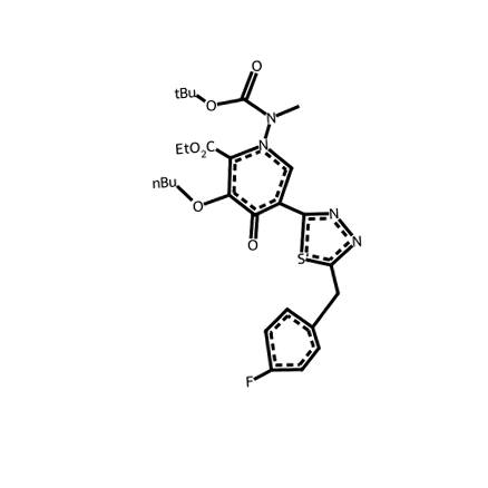 CCCCOc1c(C(=O)OCC)n(N(C)C(=O)OC(C)(C)C)cc(-c2nnc(Cc3ccc(F)cc3)s2)c1=O